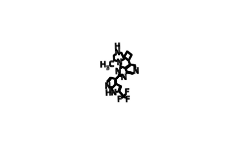 CC1CNCCN1c1nc(-c2ccnc3[nH]c(C(F)(F)F)cc23)nc2cncc(C3CCC3)c12